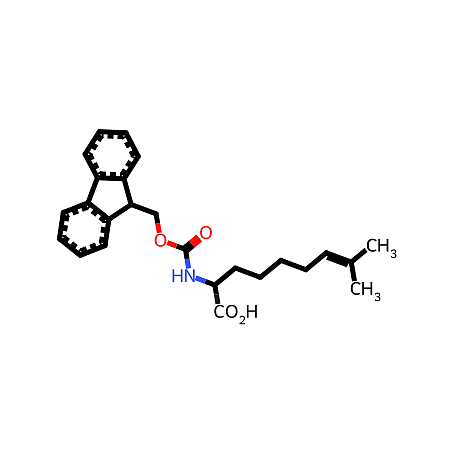 CC(C)=CCCCCC(NC(=O)OCC1c2ccccc2-c2ccccc21)C(=O)O